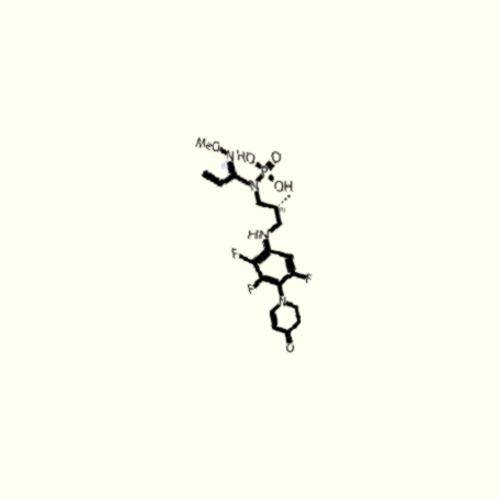 C=C/C(=N\OC)N(C[C@H](C)CNc1cc(F)c(N2C=CC(=O)CC2)c(F)c1F)P(=O)(O)O